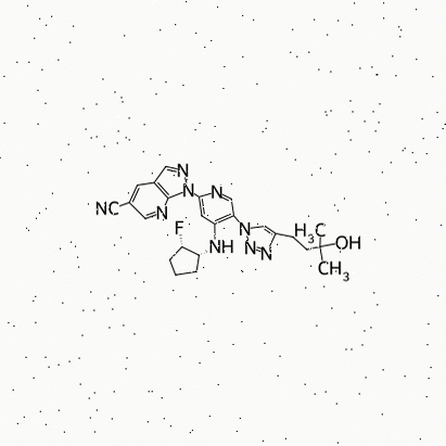 CC(C)(O)CCc1cn(-c2cnc(-n3ncc4cc(C#N)cnc43)cc2N[C@@H]2CCC[C@@H]2F)nn1